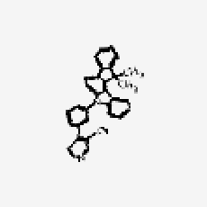 CC1(C)c2ccccc2-c2ccc3c(c21)c1ccccc1n3-c1cccc(-c2ccncc2C#N)c1